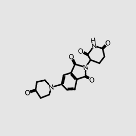 O=C1CCN(c2ccc3c(c2)C(=O)N(C2CCC(=O)NC2=O)C3=O)CC1